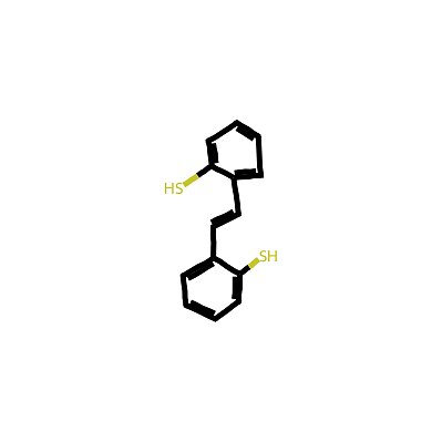 Sc1ccccc1C=Cc1ccccc1S